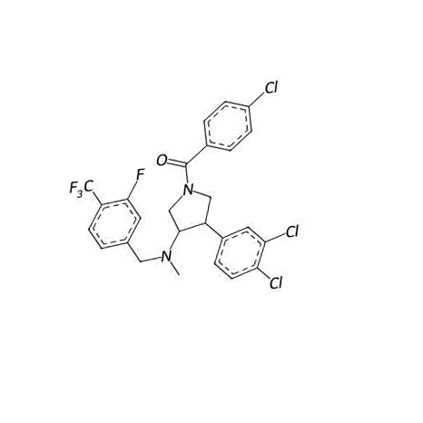 CN(Cc1ccc(C(F)(F)F)c(F)c1)C1CN(C(=O)c2ccc(Cl)cc2)CC1c1ccc(Cl)c(Cl)c1